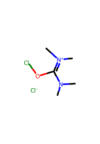 CN(C)C(OCl)=[N+](C)C.[Cl-]